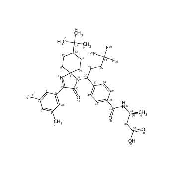 Cc1cc(Cl)cc(C2=NC3(CCC(C(C)(C)C)CC3)N(C(CCC(F)(F)F)c3ccc(C(=O)N[C@@H](C)CC(=O)O)cc3)C2=O)c1